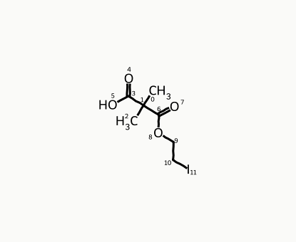 CC(C)(C(=O)O)C(=O)OCCI